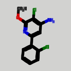 Nc1cc(-c2ccccc2Cl)nc(OC(=O)O)c1Cl